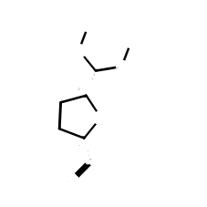 COC(OC)[C@H]1CC[C@@H](C=O)O1